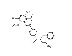 CCCN(Cc1ccccc1)N(C)c1ccc(-c2cc(=O)c3c(O)cc(O)c(OC)c3o2)cc1